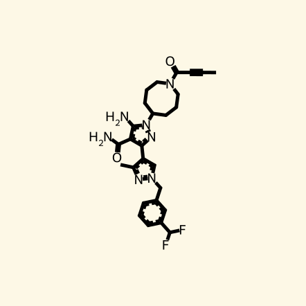 CC#CC(=O)N1CCCC(n2nc(-c3cn(Cc4cccc(C(F)F)c4)nc3C)c(C(N)=O)c2N)CCC1